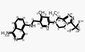 Cc1cc(N2CCn3c(nnc3C(F)(F)F)[C@H]2C)ncc1CNc1cccc2c(N)nccc12